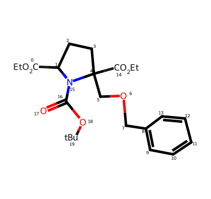 CCOC(=O)C1CCC(COCc2ccccc2)(C(=O)OCC)N1C(=O)OC(C)(C)C